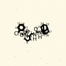 O=C(NCC1CCCN1S(=O)(=O)c1ccccc1Cl)NC12CC3CC(CC(C3)C1)C2